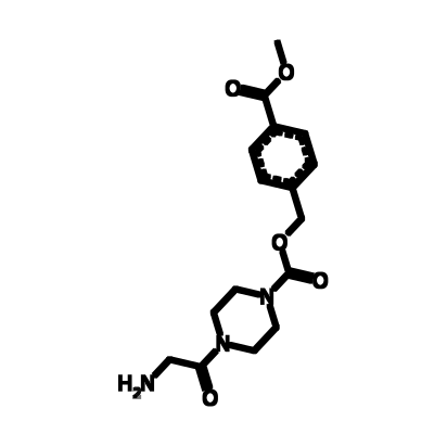 COC(=O)c1ccc(COC(=O)N2CCN(C(=O)CN)CC2)cc1